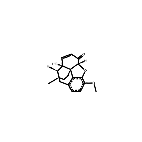 COc1ccc2c3c1O[C@H]1C(=O)C=C[C@@]4(O)[C@@H](C2)N(C)CC[C@]314